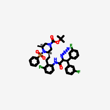 C[C@H]1CN(C(=O)OC(C)(C)C)C[C@H](CCc2c(F)cccc2NC(=O)C(N=[N+]=[N-])C(c2cccc(F)c2)c2cccc(F)c2)N1S(=O)(=O)c1ccccc1